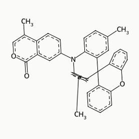 Cc1ccc2c(c1)C1(c3ccccc3Oc3ccccc31)c1cc(C)ccc1N2c1ccc2c(C)coc(=O)c2c1